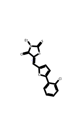 CCN1C(=O)/C(=C/c2ccc(-c3ccccc3Cl)o2)SC1=S